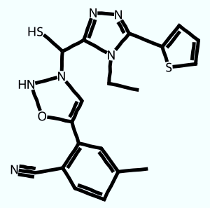 CCn1c(-c2cccs2)nnc1C(S)N1C=C(c2cc(C)ccc2C#N)ON1